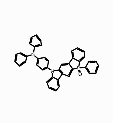 O=P1(c2ccccc2)c2ccccc2-c2cc3c(cc21)c1ccccc1n3-c1ccc(N(c2ccccc2)c2ccccc2)cc1